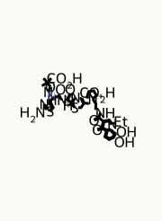 CCn1cc(C(=O)NCC[N+]2(CC3=C(C(=O)O)N4C(=O)[C@@H](NC(=O)/C(=N\OC(C)(C)C(=O)O)c5csc(N)n5)[C@H]4SC3)CCCC2)c(=O)c2ccc(O)c(O)c21